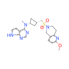 COc1ccc2c(n1)CCN(S(=O)(=O)C[C@H]1C[C@@H](N(C)c3ncnc4[nH]ccc34)C1)C2